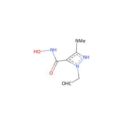 CNc1[nH]n(CC=O)c1C(=O)NO